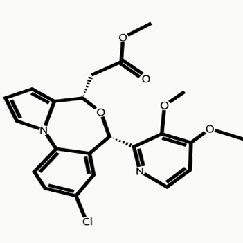 COC(=O)C[C@@H]1O[C@H](c2nccc(OC)c2OC)c2cc(Cl)ccc2-n2cccc21